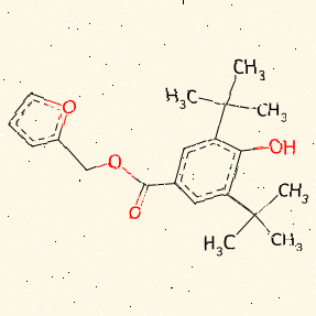 CC(C)(C)c1cc(C(=O)OCc2ccco2)cc(C(C)(C)C)c1O